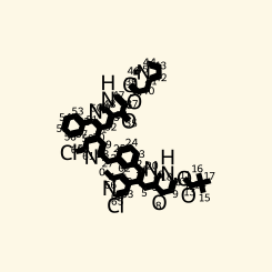 Cc1cc(-c2cc3c(=O)cc(OC(=O)C(C)(C)C)[nH]c3nc2-c2cccc(Cc3cc(-c4cc5c(=O)c(OC(=O)Cc6cccn6C)c[nH]c5nc4-c4ccccc4)cc(Cl)n3)c2)cc(Cl)n1